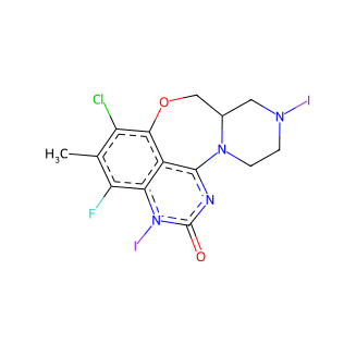 Cc1c(Cl)c2c3c(nc(=O)n(I)c3c1F)N1CCN(I)CC1CO2